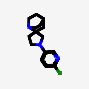 Clc1ccc(N2CCC3(CC4CCN3CC4)C2)cn1